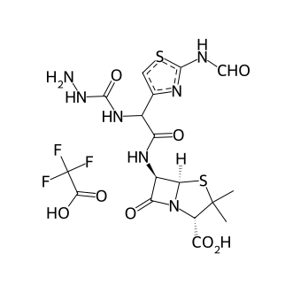 CC1(C)S[C@@H]2[C@H](NC(=O)C(NC(=O)NN)c3csc(NC=O)n3)C(=O)N2[C@H]1C(=O)O.O=C(O)C(F)(F)F